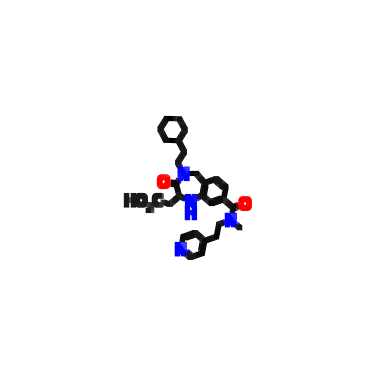 CN(CCc1ccncc1)C(=O)c1ccc2c(c1)NC(CC(=O)O)C(=O)N(CCC1CCCCC1)C2